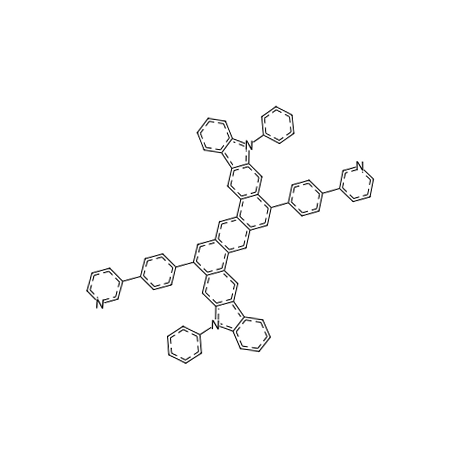 c1ccc(-n2c3ccccc3c3cc4c(cc32)c(-c2ccc(-c3cccnc3)cc2)cc2cc3c(cc(-c5ccc(-c6cccnc6)cc5)c5cc6c(cc53)c3ccccc3n6-c3ccccc3)cc24)cc1